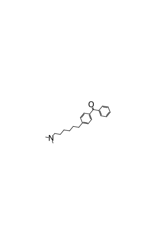 CN(C)CCCCCCc1ccc(C(=O)c2ccccc2)cc1